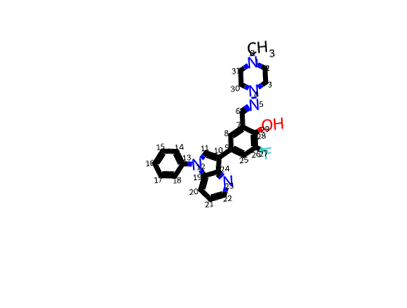 CN1CCN(/N=C/c2cc(-c3cn(-c4ccccc4)c4cccnc34)cc(F)c2O)CC1